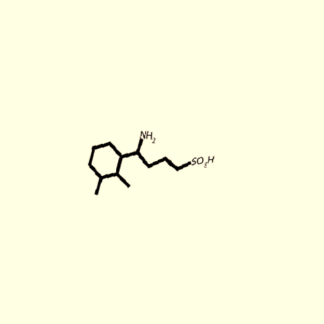 CC1CCCC(C(N)CCCS(=O)(=O)O)C1C